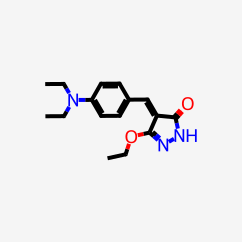 CCOC1=NNC(=O)C1=Cc1ccc(N(CC)CC)cc1